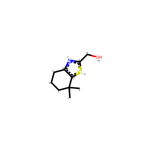 CC1(C)CCCc2nc(CO)sc21